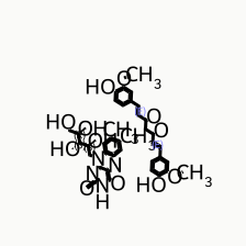 COc1cc(/C=C/C(=O)CC(=O)/C=C/c2ccc(O)c(OC)c2)ccc1O.Cc1cc2nc3c(=O)[nH]c(=O)nc-3n(C[C@H](O)[C@H](O)[C@H](O)CO)c2cc1C